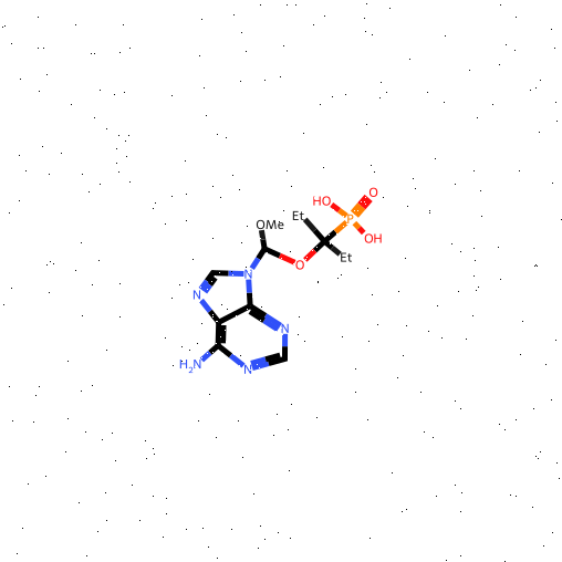 CCC(CC)(OC(OC)n1cnc2c(N)ncnc21)P(=O)(O)O